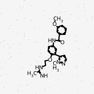 COc1cccc(C(=O)Nc2ccc(OCCNC(C)=N)c(-c3ccnn3C)c2)c1